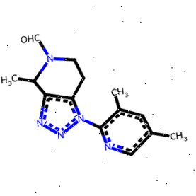 Cc1cnc(-n2nnc3c2CCN(C=O)C3C)c(C)c1